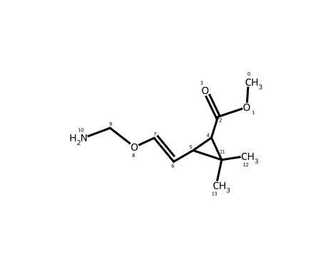 COC(=O)C1C(C=COCN)C1(C)C